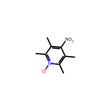 Cc1c([N+](=O)[O-])c(C)c(C)[n+]([O-])c1C